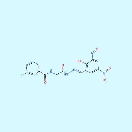 O=Nc1cc([N+](=O)[O-])cc(/C=N/NC(=O)CNC(=O)c2cccc(F)c2)c1O